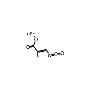 CCCOC(=O)C(C)=CN=C=O